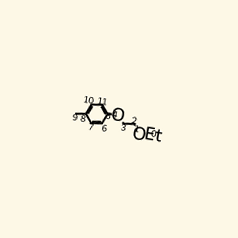 CCOCCOc1ccc(C)cc1